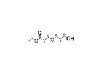 CCOC(=O)CCOCCCO